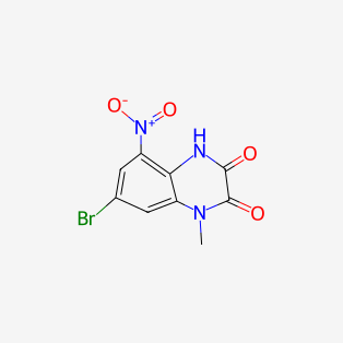 Cn1c(=O)c(=O)[nH]c2c([N+](=O)[O-])cc(Br)cc21